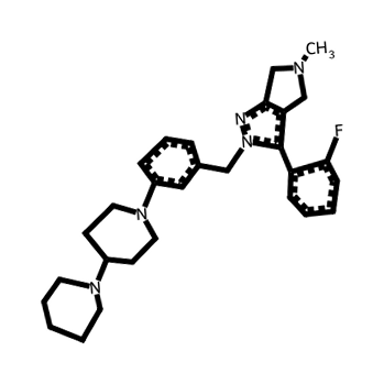 CN1Cc2nn(Cc3cccc(N4CCC(N5CCCCC5)CC4)c3)c(-c3ccccc3F)c2C1